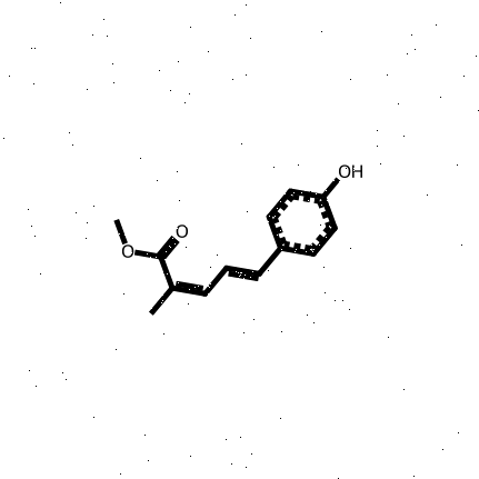 COC(=O)C(C)=CC=Cc1ccc(O)cc1